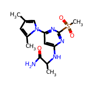 Cc1cc(C)n(-c2cc(NC(C)C(N)=O)nc(S(C)(=O)=O)n2)c1